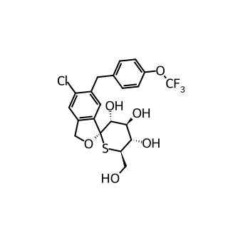 OC[C@H]1S[C@]2(OCc3cc(Cl)c(Cc4ccc(OC(F)(F)F)cc4)cc32)[C@H](O)[C@@H](O)[C@@H]1O